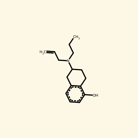 C=CCN(CCC)C1CCc2c(O)cccc2C1